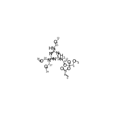 C=CC(=O)OC(COC)(OC)OC.COCNc1nc(N)nc(N(COC)COC)n1